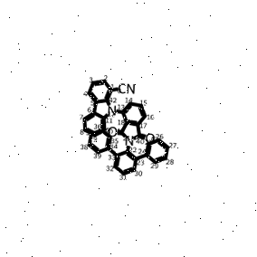 N#Cc1cccc2c3ccccc3n(-c3cccc4c3C(=O)N(c3c(-c5ccccc5)cccc3-c3ccccc3)C4=O)c12